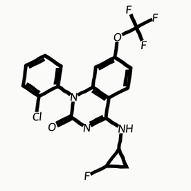 O=c1nc(NC2CC2F)c2ccc(OC(F)(F)F)cc2n1-c1ccccc1Cl